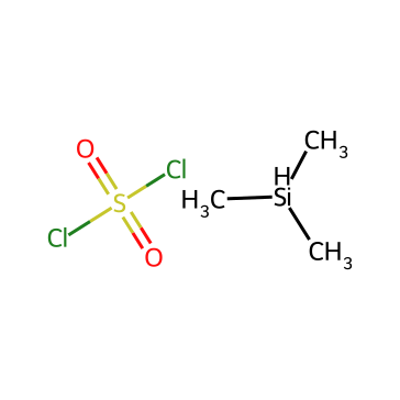 C[SiH](C)C.O=S(=O)(Cl)Cl